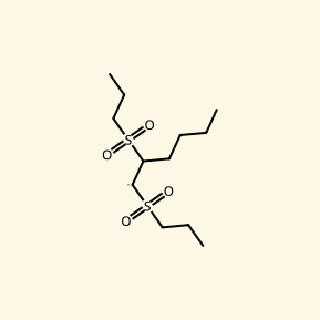 CCCCC([CH]S(=O)(=O)CCC)S(=O)(=O)CCC